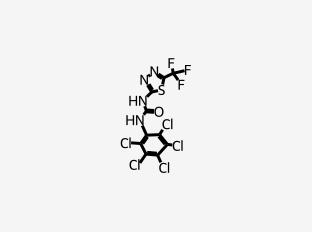 O=C(Nc1nnc(C(F)(F)F)s1)Nc1c(Cl)c(Cl)c(Cl)c(Cl)c1Cl